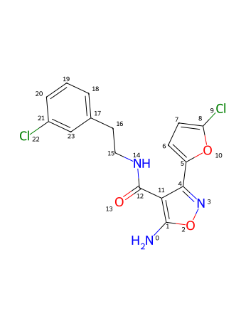 Nc1onc(-c2ccc(Cl)o2)c1C(=O)NCCc1cccc(Cl)c1